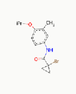 Cc1cc(NC(=O)C2(Br)CC2)ccc1OC(C)C